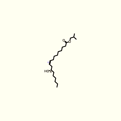 CCCCCC[C@@H](O)C/C=C\CCCCCCCC(=O)OCC(C)C